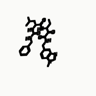 CCC(NC(=O)[C@H](CC(C)C)NC(=O)NCc1ccccc1)C(=O)C(=O)NCc1ccc2c(c1)ncn2C